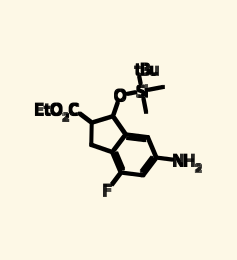 CCOC(=O)C1Cc2c(F)cc(N)cc2C1O[Si](C)(C)C(C)(C)C